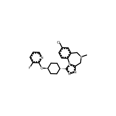 CN1Cc2cc(Cl)ccc2-n2c(nnc2[C@H]2CC[C@H](Oc3ncccc3F)CC2)C1